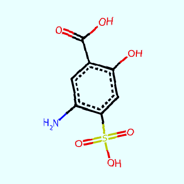 Nc1cc(C(=O)O)c(O)cc1S(=O)(=O)O